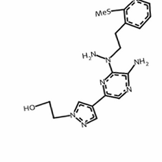 CSc1ncccc1CCN(N)c1nc(-c2cnn(CCO)c2)cnc1N